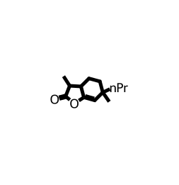 CCCC1(C)C=C2OC(=O)C(C)C2CC1